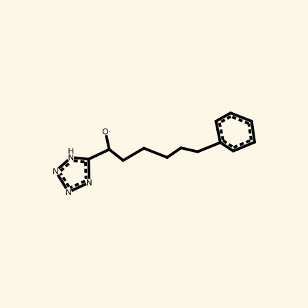 [O]C(CCCCCc1ccccc1)c1nnn[nH]1